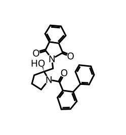 O=C1c2ccccc2C(=O)N1C[C@]1(O)CCCN1C(=O)c1ccccc1-c1ccccc1